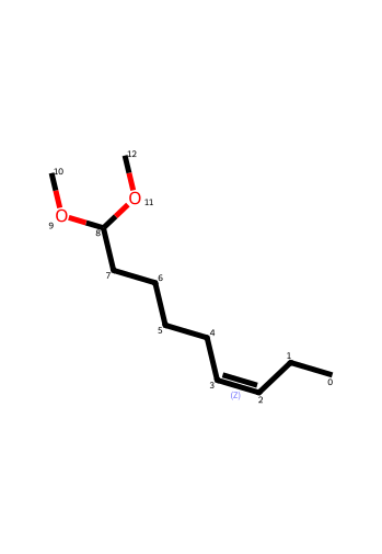 CC/C=C\CCCCC(OC)OC